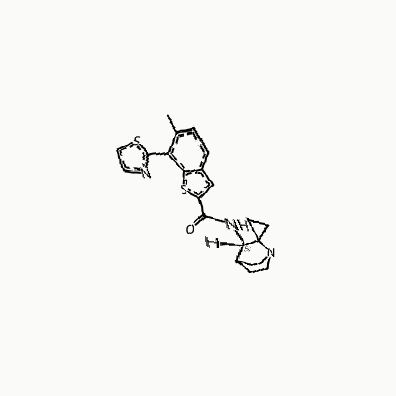 Cc1ccc2cc(C(=O)N[C@H]3C4CCN(CC4)C34CC4)sc2c1-c1nccs1